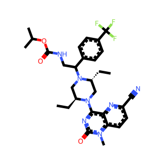 CC[C@H]1CN(C(CNC(=O)OC(C)C)c2ccc(C(F)(F)F)cc2)[C@H](CC)CN1c1nc(=O)n(C)c2ccc(C#N)nc12